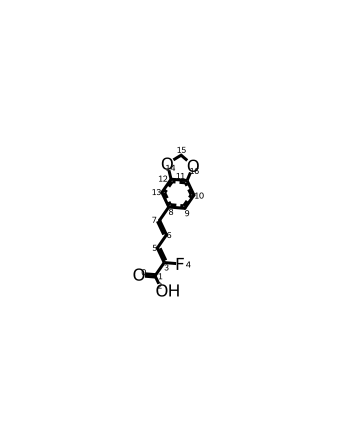 O=C(O)/C(F)=C/C=C/c1ccc2c(c1)OCO2